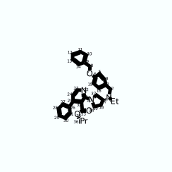 CCN(Cc1ccc(OCc2ccccc2)cc1)[C@@H]1CCN(c2nccc(-c3ccccc3)c2C(=O)OC(C)C)C1